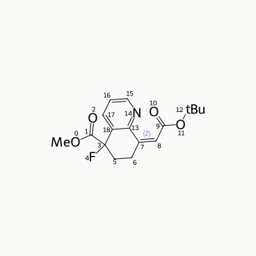 COC(=O)C1(F)CC/C(=C/C(=O)OC(C)(C)C)c2ncccc21